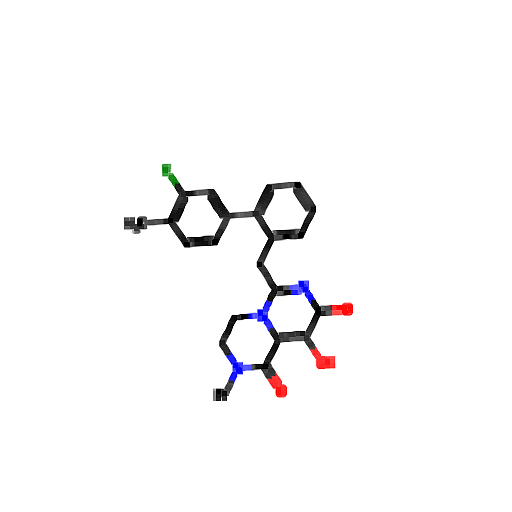 Cc1ccc(-c2ccccc2Cc2nc(=O)c(O)c3n2CCN(C(C)C)C3=O)cc1F